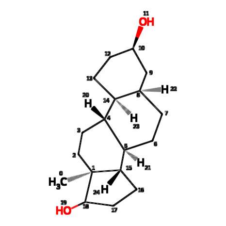 C[C@]12CC[C@H]3[C@@H](CC[C@@H]4C[C@H](O)CC[C@@H]43)[C@@H]1CCC2O